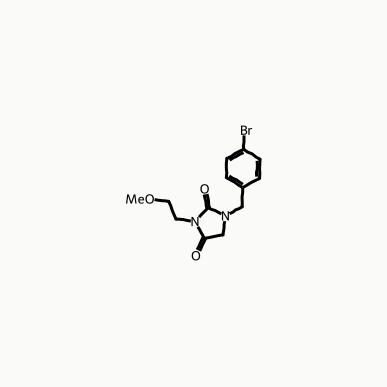 COCCN1C(=O)CN(Cc2ccc(Br)cc2)C1=O